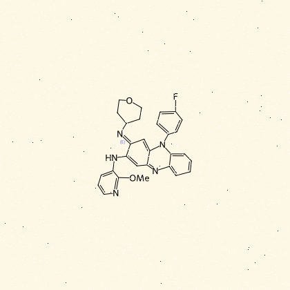 COc1ncccc1Nc1cc2nc3ccccc3n(-c3ccc(F)cc3)c-2c/c1=N\C1CCOCC1